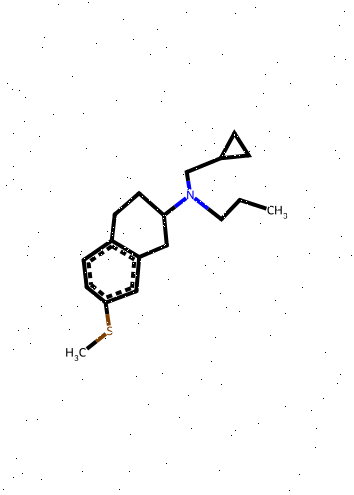 CCCN(CC1CC1)C1CCc2ccc(SC)cc2C1